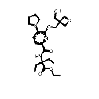 CCOC(=O)C(CC)(CC)NC(=O)c1ccc(N2CCCC2)c(OCC2(CO)COC2)n1